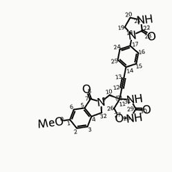 COc1ccc2c(c1)C(=O)N(C[C@]1(C#Cc3ccc(N4CCNC4=O)cc3)CONC(=O)N1)C2